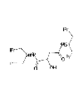 CC(C)[CH2][SnH]([CH2]C(C)C)[O]C(=O)CC(O)C(=O)[O][SnH]([CH2]C(C)C)[CH2]C(C)C